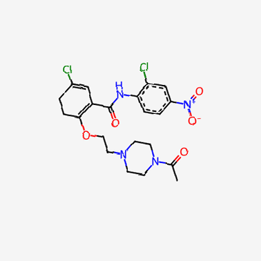 CC(=O)N1CCN(CCOC2=C(C(=O)Nc3ccc([N+](=O)[O-])cc3Cl)C=C(Cl)CC2)CC1